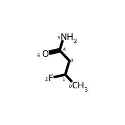 CC(F)CC(N)=O